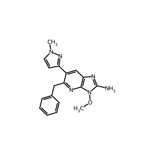 COn1c(N)nc2cc(-c3ccn(C)n3)c(Cc3ccccc3)nc21